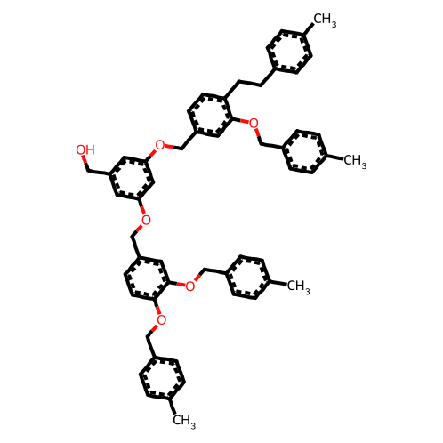 Cc1ccc(CCc2ccc(COc3cc(CO)cc(OCc4ccc(OCc5ccc(C)cc5)c(OCc5ccc(C)cc5)c4)c3)cc2OCc2ccc(C)cc2)cc1